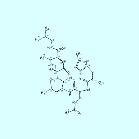 CC(=O)NC[C@H](NC(=O)[C@@H](C)Cc1nc(C)cs1)C(=O)N[C@@H](CC(C)C)[C@@H](O)C[C@@H](C)C(=O)N[C@H](C(=O)NCC(C)C)C(C)C